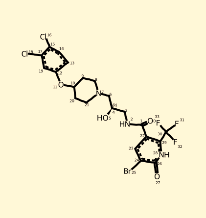 O=C(NC[C@@H](O)CN1CCC(Oc2ccc(Cl)c(Cl)c2)CC1)c1cc(Br)c(=O)[nH]c1C(F)(F)F